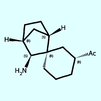 CC(=O)[C@@H]1CCC[C@@]2(C1)[C@H]1CC[C@H](C1)[C@@H]2N